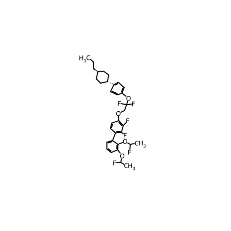 CCC[C@H]1CC[C@H](c2ccc(OC(F)(F)COc3ccc(-c4cccc(OC(C)F)c4OC(C)F)c(F)c3F)cc2)CC1